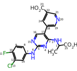 CC(Nc1nc(Nc2ccc(F)c(Cl)c2)ncc1-c1cncc(C(=O)O)c1)C(=O)O